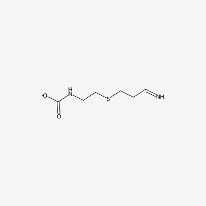 N=CCCSCCNC([O])=O